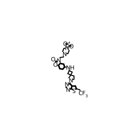 CS(=O)(=O)N1CCN(CCn2c(=O)oc3ccc(NC4CC5(CCN(c6ncnc7sc(CC(F)(F)F)cc67)C5)C4)cc32)CC1